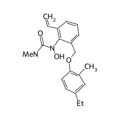 C=Cc1cccc(COc2ccc(CC)cc2C)c1N(O)C(=O)NC